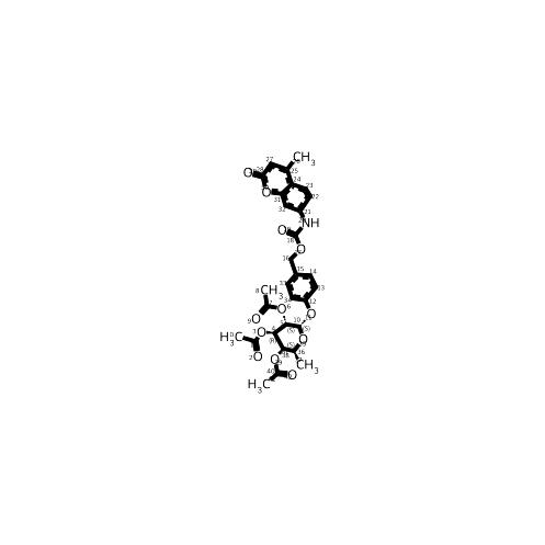 CC(=O)O[C@H]1[C@H](OC(C)=O)[C@H](Oc2ccc(COC(=O)Nc3ccc4c(C)cc(=O)oc4c3)cc2)O[C@@H](C)[C@H]1OC(C)=O